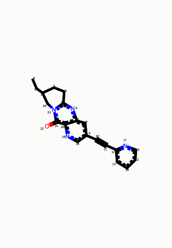 CCC1CCc2nc3cc(C#Cc4ccccn4)cnc3c(=O)n2C1